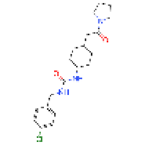 O=C(NCc1ccc(Cl)cc1)NC1CCC(CC(=O)N2CCCC2)CC1